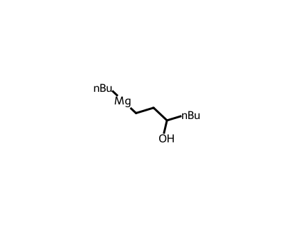 CCC[CH2][Mg][CH2]CC(O)CCCC